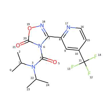 CC(C)N(C(=O)n1c(-c2cc(C(F)(F)F)ccn2)noc1=O)C(C)C